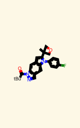 CC(C)(C)C(=O)n1ncc2cc3c(cc(C4(C)COC4)n3-c3ccc(F)cc3)cc21